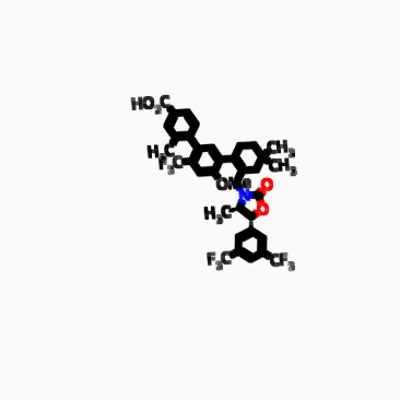 COc1cc(C(F)(F)F)c(-c2ccc(C(=O)O)cc2C)cc1C1=C(CN2C(=O)O[C@H](c3cc(C(F)(F)F)cc(C(F)(F)F)c3)[C@@H]2C)CC(C)(C)CC1